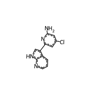 Nc1cc(Cl)cc(-c2c[nH]c3ncccc23)n1